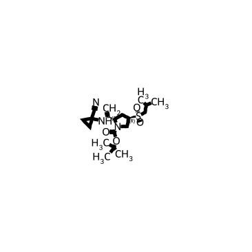 C=C(NC1(C#N)CC1)[C@@H]1C[C@@H](S(=O)(=O)CC(C)C)CN1C(=O)OC(C)(C)C